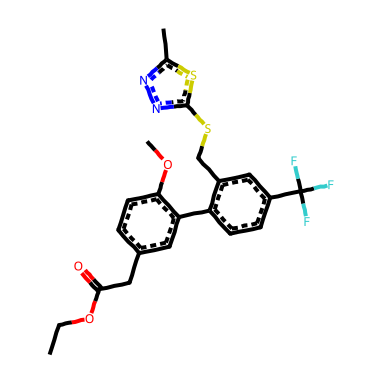 CCOC(=O)Cc1ccc(OC)c(-c2ccc(C(F)(F)F)cc2CSc2nnc(C)s2)c1